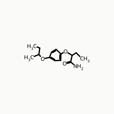 CCC(C)Oc1ccc(OC(CC)C(N)=O)cc1